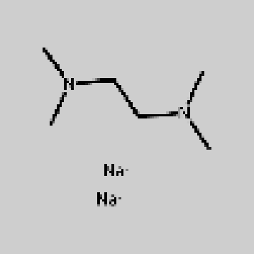 CN(C)CCN(C)C.[Na].[Na]